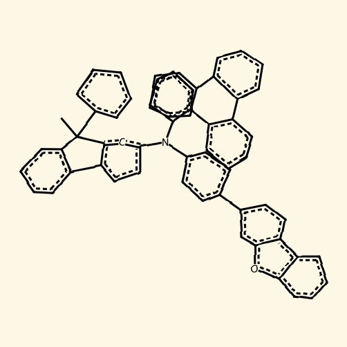 CC1(c2ccccc2)c2ccccc2-c2ccc(N(c3ccc(-c4ccc5c(c4)oc4ccccc45)cc3)c3ccccc3-c3ccccc3-c3ccccc3-c3ccccc3)cc21